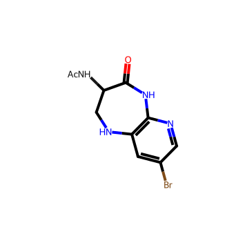 CC(=O)NC1CNc2cc(Br)cnc2NC1=O